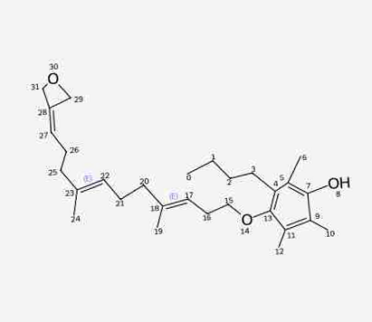 CCCCc1c(C)c(O)c(C)c(C)c1OCC/C=C(\C)CC/C=C(\C)CCC=C1COC1